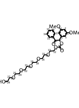 COc1cc(OC)cc(C(OC(=O)OCCOCCOCCOCCOCCOCCO)C(=O)c2ccccc2)c1